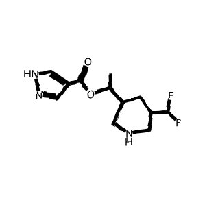 CC(OC(=O)c1cn[nH]c1)C1CNCC(C(F)F)C1